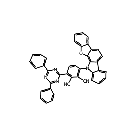 N#Cc1c(-c2nc(-c3ccccc3)nc(-c3ccccc3)n2)ccc(-n2c3ccccc3c3ccc4c5ccccc5oc4c32)c1C#N